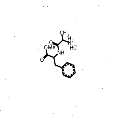 COC(=O)C(Cc1ccccc1)NC(=O)C(C)N.Cl